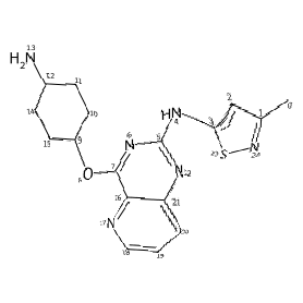 Cc1cc(Nc2nc(OC3CCC(N)CC3)c3ncccc3n2)sn1